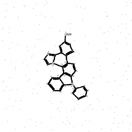 COc1ccc2c(c1)c1nccn1c1c2ccc2c1c1ccccc1n2-c1ccccc1